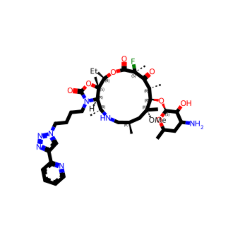 CC[C@H]1OC(=O)[C@@](C)(F)C(=O)[C@H](C)[C@@H](O[C@@H]2OC(C)CC(N)C2O)[C@](C)(OC)C[C@@H](C)CN[C@H](C)[C@H]2N(CCCCn3cc(-c4ccccn4)nn3)C(=O)O[C@]12C